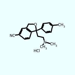 Cc1ccc(C2(CCN(C)C)OCc3cc(C#N)ccc32)cc1.Cl